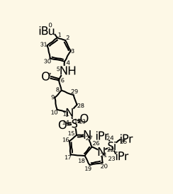 CCC(C)c1ccc(NC(=O)C2CCN(S(=O)(=O)c3ccc4ccn([Si](C(C)C)(C(C)C)C(C)C)c4n3)CC2)cc1